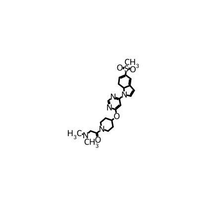 CN(C)CC(=O)N1CCC(Oc2cc(N3C=CC4=CC(S(C)(=O)=O)=CCC43)ncn2)CC1